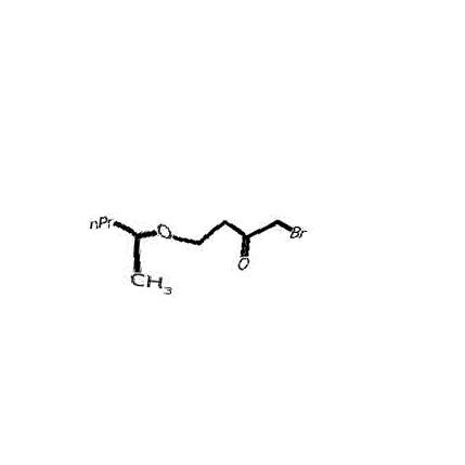 CCCC(C)OCCC(=O)CBr